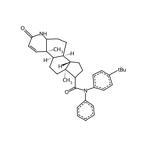 CC(C)(C)c1ccc(N(C(=O)C2CC[C@H]3[C@@H]4CCC5NC(=O)C=C[C@]5(C)[C@@H]4CC[C@]23C)c2ccccc2)cc1